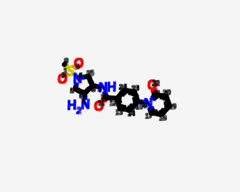 CS(=O)(=O)N1CC(N)C(NC(=O)c2ccc(-n3ccccc3=O)cc2)C1